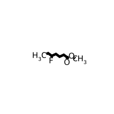 CCC(F)CCCC(=O)OC